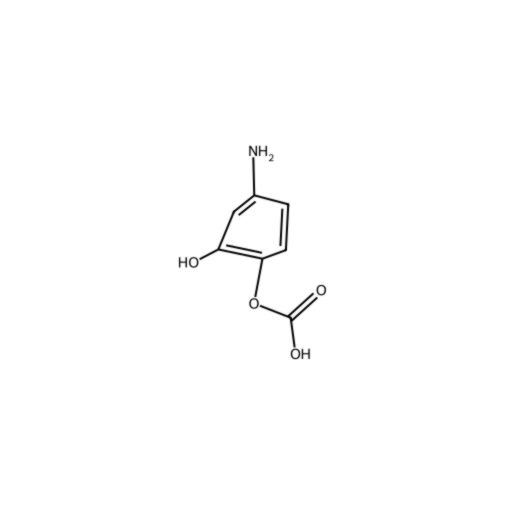 Nc1ccc(OC(=O)O)c(O)c1